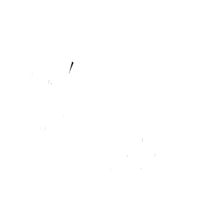 C=CC[C@@H](C1CCC(CO[Si](C)(C)C(C)(C)C)CC1)N(C)C(=O)OC(C)(C)C